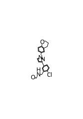 O=CNCc1cc(-c2ccn(-c3ccc4c(c3)CCCO4)n2)ccc1Cl